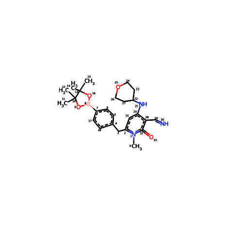 Cn1c(Cc2ccc(B3OC(C)(C)C(C)(C)O3)cc2)cc(NC2CCOCC2)c(C=N)c1=O